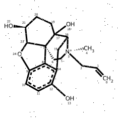 C=CC[N@@+]1(C)CC[C@@]23c4c5ccc(O)c4CC1C2(O)CC[C@H](O)C3O5